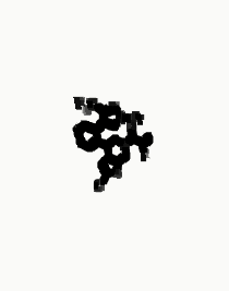 C=C(F)C(=O)N1Cc2sc(Cl)cc2C(c2ccccc2-c2cn(CCC)nc2C(F)(F)F)C1